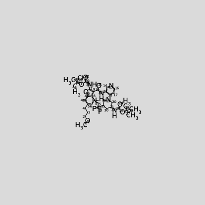 COCCCc1cnc2c(C(=O)Nc3cnccc3N3CC(NC(=O)OC(C)(C)C)C[C@@H](C(F)(F)F)C3)c(NC(=O)OC(C)(C)C)oc2c1